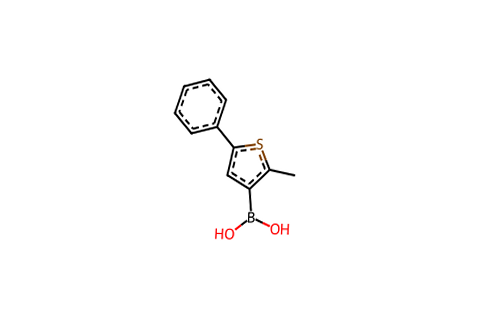 Cc1sc(-c2ccccc2)cc1B(O)O